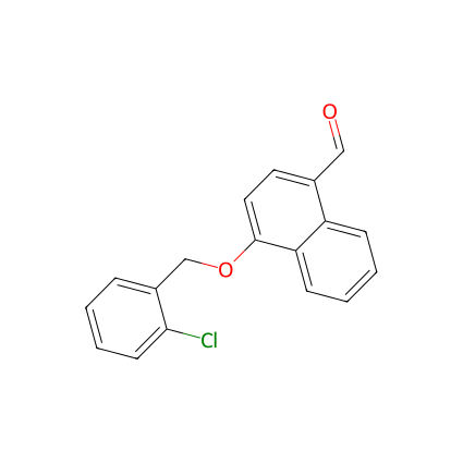 O=Cc1ccc(OCc2ccccc2Cl)c2ccccc12